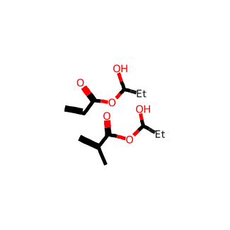 C=C(C)C(=O)OC(O)CC.C=CC(=O)OC(O)CC